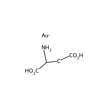 NC(CC(=O)O)C(=O)O.[Au]